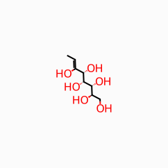 CC=C(O)[C@H](O)[C@@H](O)[C@H](O)[C@H](O)CO